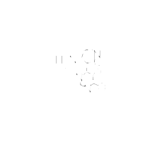 Nc1ccnc2sc3c(=O)n(C4CCCCC4)cnc3c12